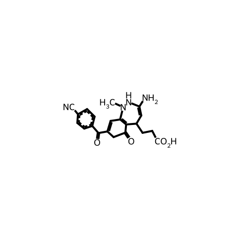 CN1NC(N)=CC(CCC(=O)O)C2=C1C=C(C(=O)c1ccc(C#N)cc1)CC2=O